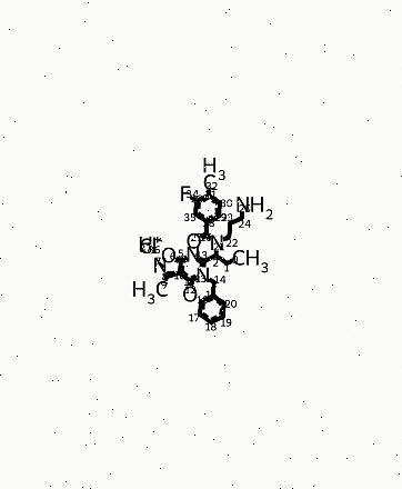 CCC(c1nc2onc(C)c2c(=O)n1Cc1ccccc1)N(CCCN)C(=O)c1ccc(C)c(F)c1.[Cl-].[H+]